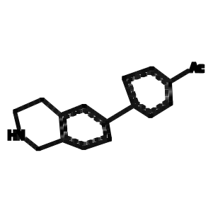 CC(=O)c1ccc(-c2ccc3c(c2)CCNC3)cc1